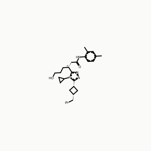 Cc1ccc(NC(=O)C[C@@H](CCCO)c2nnc([C@H]3C[C@@H](CC(C)C)C3)n2C2CC2)c(C)c1